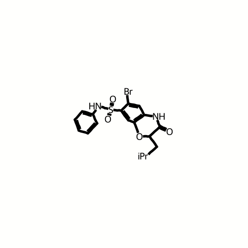 CC(C)CC1Oc2cc(S(=O)(=O)Nc3ccccc3)c(Br)cc2NC1=O